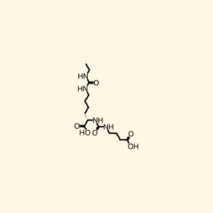 CCNC(=O)NCCCC[C@H](NC(=O)NCCCC(=O)O)C(=O)O